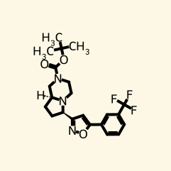 CC(C)(C)OC(=O)N1CCN2[C@@H](CC[C@@H]2c2cc(-c3cccc(C(F)(F)F)c3)on2)C1